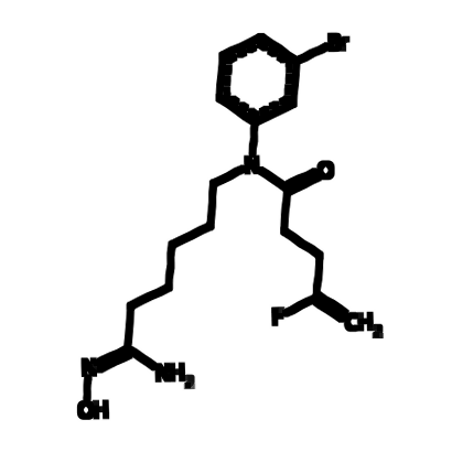 C=C(F)CCC(=O)N(CCCCC/C(N)=N/O)c1cccc(Br)c1